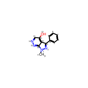 Cn1nc(-c2ccccc2)c2c(O)cnnc21